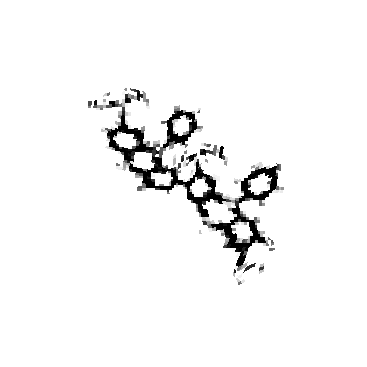 Cc1cc2nc3cc(-c4ccc5nc6ccc(N(C)C)cc6[n+](-c6ccccc6)c5c4)c(N(C)C)cc3n(-c3ccccc3)c-2cc1=O